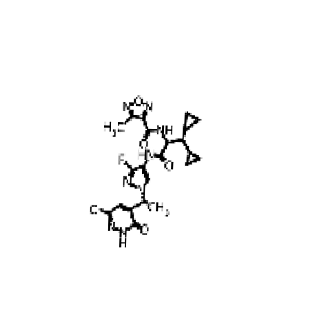 Cc1nonc1C(=O)NC(C(=O)Nc1cn(C(C)c2cc(Cl)n[nH]c2=O)nc1F)C(C1CC1)C1CC1